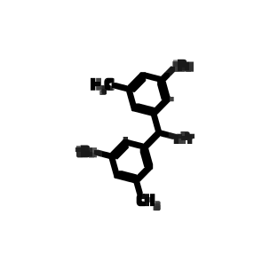 CCCC(c1[c]c(C(C)(C)C)cc(C)c1)c1[c]c(C(C)(C)C)cc(C)c1